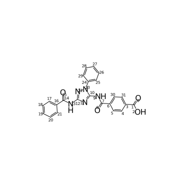 O=C(O)c1ccc(C(=O)Nc2nc(NC(=O)c3ccccc3)nn2-c2ccccc2)cc1